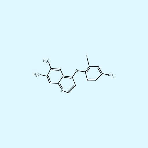 Cc1cc2nccc(Oc3ccc(N)cc3F)c2cc1C